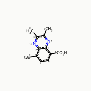 Cc1nc2c(C(=O)O)ccc(C(C)(C)C)c2nc1C